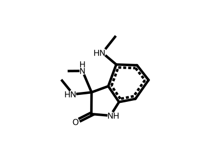 CNc1cccc2c1C(NC)(NC)C(=O)N2